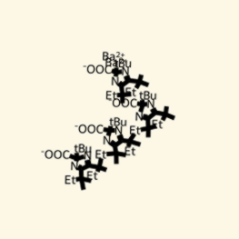 CCC(C)(C)C1=NC(C(=O)[O-])(C(C)(C)C)N=C1C(C)(C)CC.CCC(C)(C)C1=NC(C(=O)[O-])(C(C)(C)C)N=C1C(C)(C)CC.CCC(C)(C)C1=NC(C(=O)[O-])(C(C)(C)C)N=C1C(C)(C)CC.CCC(C)(C)C1=NC(C(=O)[O-])(C(C)(C)C)N=C1C(C)(C)CC.[Ba+2].[Ba+2]